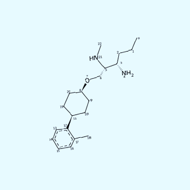 CCC[C@H](N)[C@H](CO[C@H]1CC[C@@H](c2ccccc2C)CC1)NC